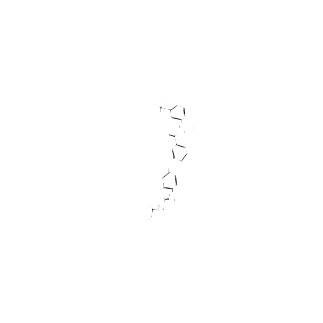 O=C(CO)Nc1nc2ccc(Oc3cccc(C(=O)Nc4cccc(C(F)(F)F)c4)c3)cc2s1